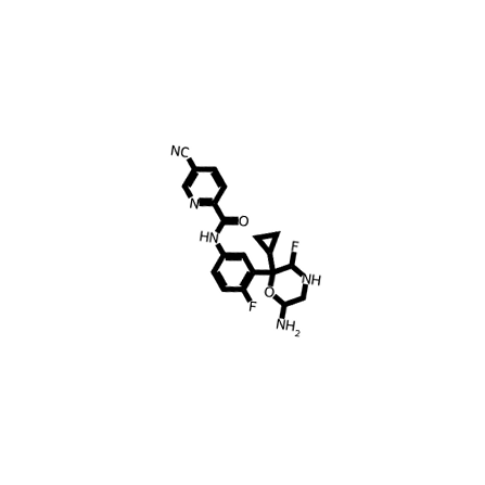 N#Cc1ccc(C(=O)Nc2ccc(F)c(C3(C4CC4)OC(N)CNC3F)c2)nc1